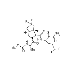 CC(C)(C)OC(=O)N[C@H](C(=O)N1C[C@@H]2CC(F)(F)C[C@@H]2[C@H]1C(=O)NC(CCC(F)F)C(=O)C(N)=O)C(C)(C)C